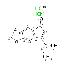 CCC(C)C1=C[CH]([Zr])c2cc3c(cc21)CCC3.Cl.Cl